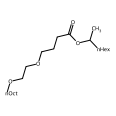 CCCCCCCCOCCOCCCC(=O)OC(C)CCCCCC